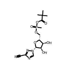 CC(C)(C)C(=O)OP(C)(=O)OC[C@H]1O[C@@H](n2cnc(C#N)n2)[C@H](O)[C@@H]1O